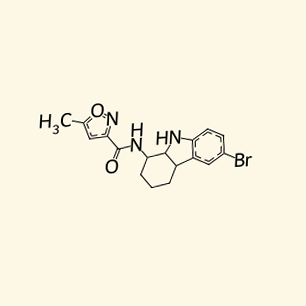 Cc1cc(C(=O)NC2CCCC3c4cc(Br)ccc4NC23)no1